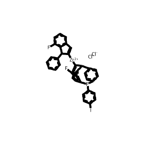 Fc1cccc2c1C(c1ccccc1)[C]([Zr+2][C]1=Cc3c4ccc(F)c3C1c1ccc(cc1)P4c1ccc(I)cc1)=C2.[Cl-].[Cl-]